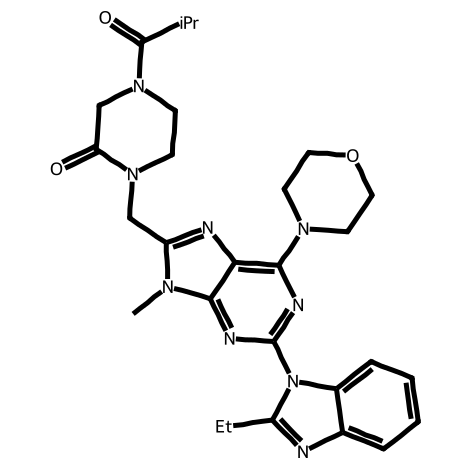 CCc1nc2ccccc2n1-c1nc(N2CCOCC2)c2nc(CN3CCN(C(=O)C(C)C)CC3=O)n(C)c2n1